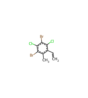 C=Cc1c(C)c(Br)c(Cl)c(Br)c1Cl